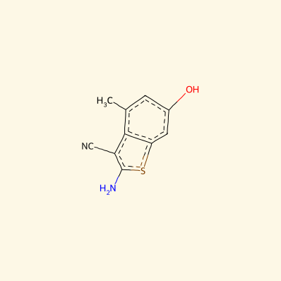 Cc1cc(O)cc2sc(N)c(C#N)c12